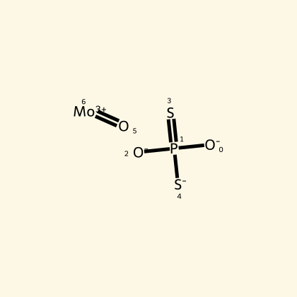 [O-]P([O-])(=S)[S-].[O]=[Mo+3]